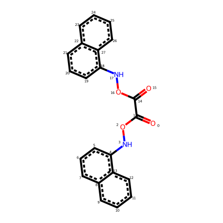 O=C(ONc1cccc2ccccc12)C(=O)ONc1cccc2ccccc12